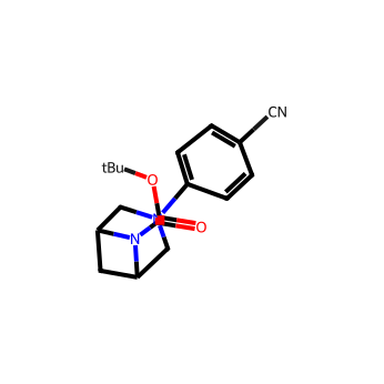 CC(C)(C)OC(=O)N1C2CC1CN(c1ccc(C#N)cc1)C2